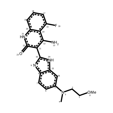 COCCN(C)c1ccc2nc(-c3c(N)c4c(F)cccc4[nH]c3=O)[nH]c2c1